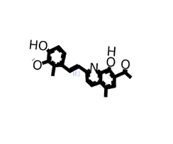 COc1c(O)ccc(/C=C/c2ccc3c(C)cc(C(C)=O)c(O)c3n2)c1C